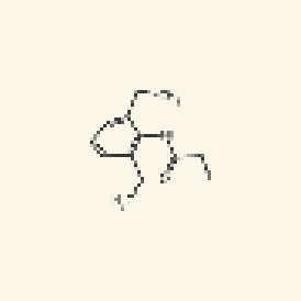 CCc1cccc(CC)c1NC(=O)CI